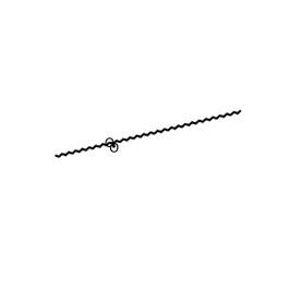 CCCCCCCCCCCCCCCCCCCCCCCCCCCCCCCCCCCCCC(=O)OCCCCCCCCCCCCCCCC